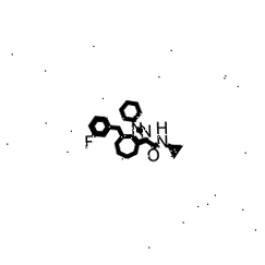 O=C(NC1CC1)c1nn(C2CCCCC2)c2c1CCCCC2Cc1cccc(F)c1